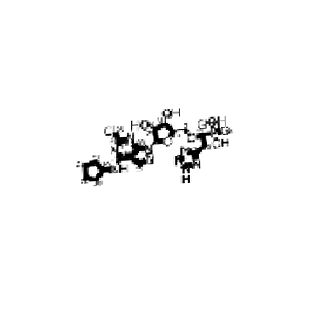 C[C@](Cc1nn[nH]n1)(OC[C@H]1O[C@@H](n2ncc3c(NC4CCCC4)nc(Cl)nc32)[C@H](O)[C@@H]1O)P(=O)(O)O